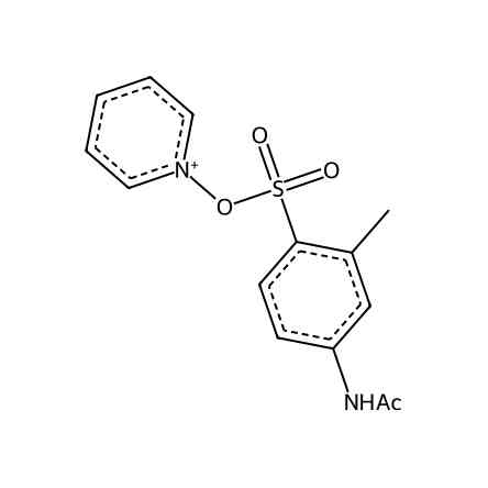 CC(=O)Nc1ccc(S(=O)(=O)O[n+]2ccccc2)c(C)c1